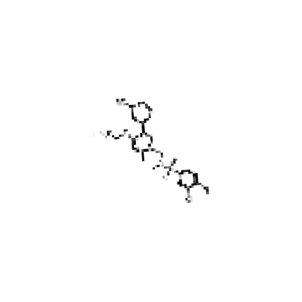 CN(Cc1cc(-c2cccc(C#N)c2)c(OCC(=O)O)cc1F)S(=O)(=O)c1ccc(F)c(Cl)c1